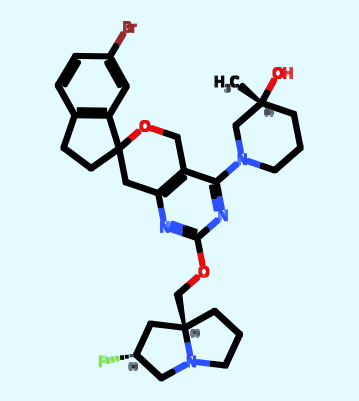 C[C@@]1(O)CCCN(c2nc(OC[C@@]34CCCN3C[C@H](F)C4)nc3c2COC2(CCc4ccc(Br)cc42)C3)C1